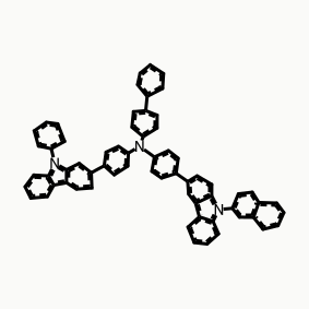 c1ccc(-c2ccc(N(c3ccc(-c4ccc5c(c4)c4ccccc4n5-c4ccc5ccccc5c4)cc3)c3ccc(-c4ccc5c6ccccc6n(-c6ccccc6)c5c4)cc3)cc2)cc1